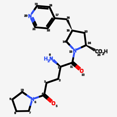 N[C@H](CCC(=O)N1CCCC1)C(=O)N1C[C@H](Cc2ccncc2)C[C@H]1C(=O)O